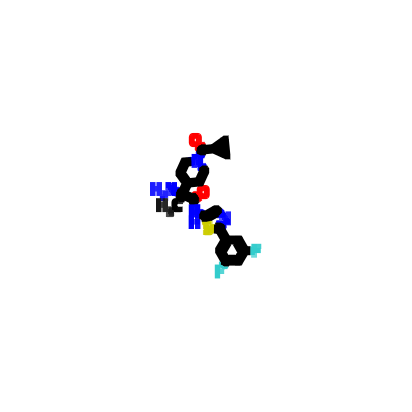 CC(N)(C(=O)Nc1cnc(-c2cc(F)cc(F)c2)s1)C1CCN(C(=O)C2CC2)CC1